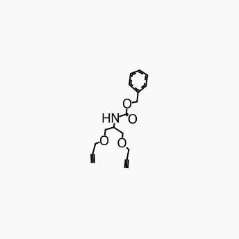 C#CCOCC(COCC#C)NC(=O)OCc1ccccc1